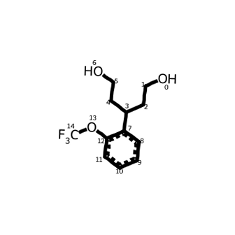 OCCC(CCO)c1ccccc1OC(F)(F)F